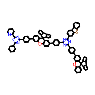 c1ccc(-c2nc(-c3ccc(-c4ccc5c(c4)Oc4ccc(-c6ccc(-c7nc(-c8ccc(-c9ccc%10c(c9)Oc9ccccc9C%109c%10ccccc%10-c%10ccccc%109)cc8)nc(-c8ccc9c(c8)sc8ccccc89)n7)cc6)cc4C54c5ccccc5-c5ccccc54)cc3)nc(-c3ccccn3)n2)cc1